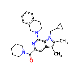 Cc1c(C)n(CC2CC2)c2c(N3CCc4ccccc4C3)nc(C(=O)N3CCCCC3)cc12